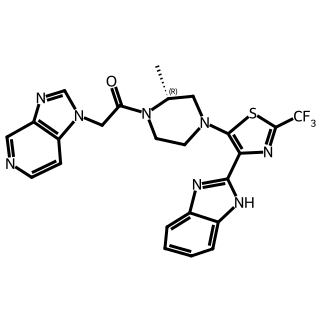 C[C@@H]1CN(c2sc(C(F)(F)F)nc2-c2nc3ccccc3[nH]2)CCN1C(=O)Cn1cnc2cnccc21